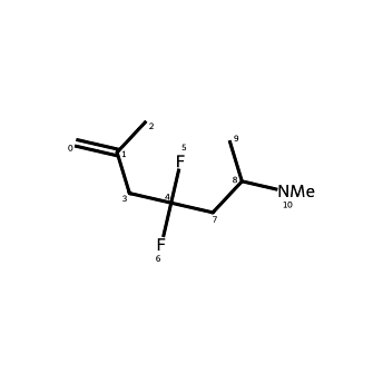 C=C(C)CC(F)(F)CC(C)NC